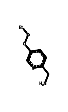 CCOOc1ccc(CN)nc1